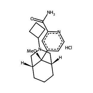 CO[C@]1(c2ccnc(C(N)=O)c2)[C@@H]2CCC[C@H]1CN(C1CCC1)C2.Cl